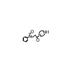 O=[C]N(CCC(=O)N1CCNCC1)c1ccccc1